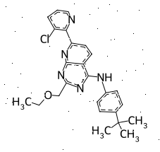 CCOCc1nc(Nc2ccc(C(C)(C)C)cc2)c2ccc(-c3ncccc3Cl)nc2n1